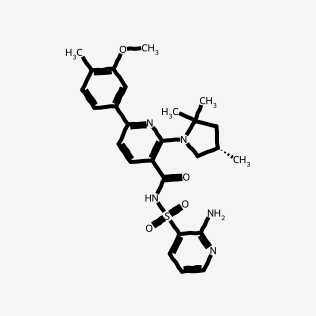 COc1cc(-c2ccc(C(=O)NS(=O)(=O)c3cccnc3N)c(N3C[C@@H](C)CC3(C)C)n2)ccc1C